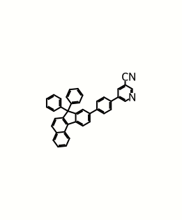 N#Cc1cncc(-c2ccc(-c3ccc4c(c3)C(c3ccccc3)(c3ccccc3)c3ccc5ccccc5c3-4)cc2)c1